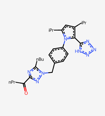 CCCCc1nc(C(=O)CCC)nn1Cc1ccc(-n2c(C(C)C)cc(C(C)C)c2-c2nnn[nH]2)cc1